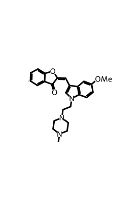 COc1ccc2c(c1)c(C=C1Oc3cc[c]cc3C1=O)cn2CCN1CCN(C)CC1